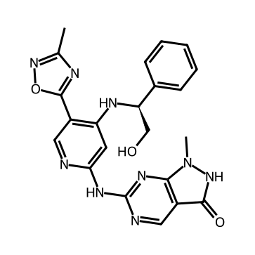 Cc1noc(-c2cnc(Nc3ncc4c(=O)[nH]n(C)c4n3)cc2N[C@H](CO)c2ccccc2)n1